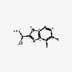 CCCCC(CC)c1nc2c(C)c(C)ccc2[nH]1